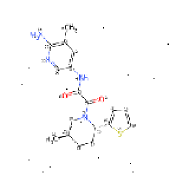 Cc1cc(NC(=O)C(=O)N2C[C@H](C)CC[C@H]2c2cccs2)cnc1N